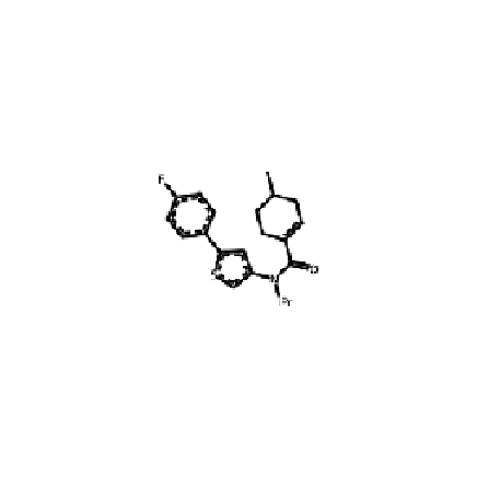 CC1CC=C(C(=O)N(c2csc(-c3ccc(F)cc3)c2)C(C)C)CC1